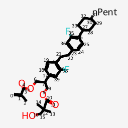 C=C(C)C(=O)OCC(COC(=O)C(C)(C)CO)c1ccc(CCc2ccc(C3CCC(CCCCC)CC3)c(F)c2)c(F)c1